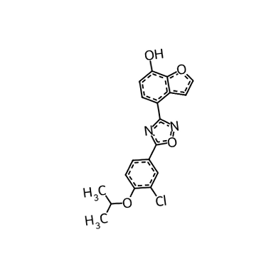 CC(C)Oc1ccc(-c2nc(-c3ccc(O)c4occc34)no2)cc1Cl